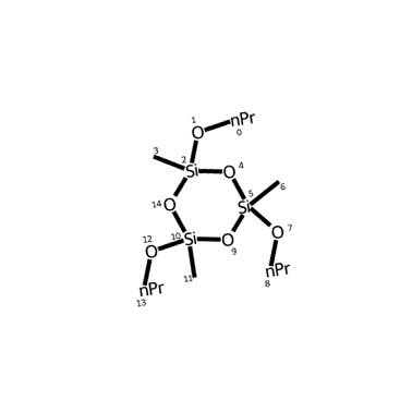 CCCO[Si]1(C)O[Si](C)(OCCC)O[Si](C)(OCCC)O1